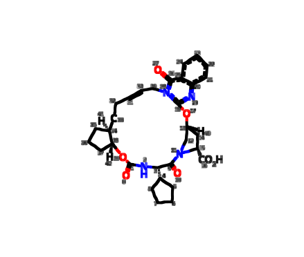 O=C1N[C@@H](C2CCCC2)C(=O)N2C[C@@H](C[C@H]2C(=O)O)Oc2nc3ccccc3c(=O)n2CC=CCC[C@@H]2CCC[C@H]2O1